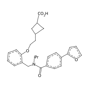 CC(C)N(Cc1ccccc1OCCC1CC(C(=O)O)C1)C(=O)c1ccc(-c2ccco2)cc1